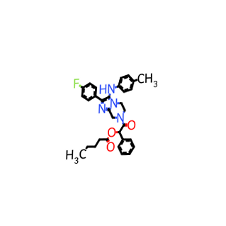 CCCCC(=O)OC(C(=O)N1CCn2c(nc(-c3ccc(F)cc3)c2Nc2ccc(C)cc2)C1)c1ccccc1